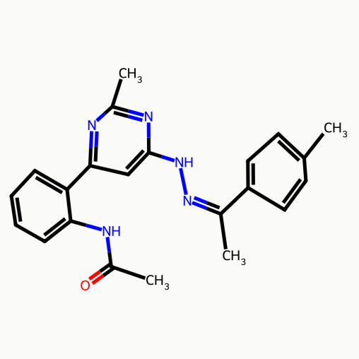 CC(=O)Nc1ccccc1-c1cc(N/N=C(/C)c2ccc(C)cc2)nc(C)n1